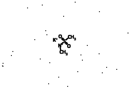 C[N-]S(C)(=O)=O.[K+]